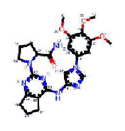 COc1cc(-n2cnc(Nc3nc(N4CCCC4C(N)=O)nc4c3CCC4)c2)cc(OC)c1OC